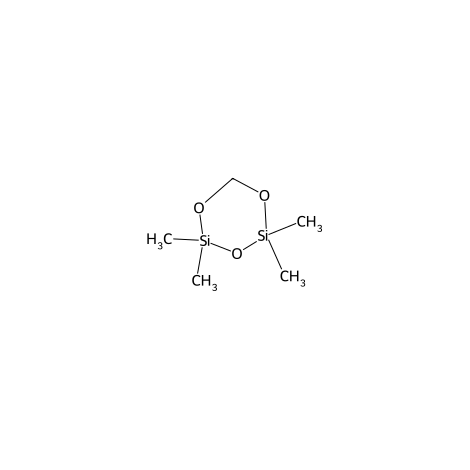 C[Si]1(C)OCO[Si](C)(C)O1